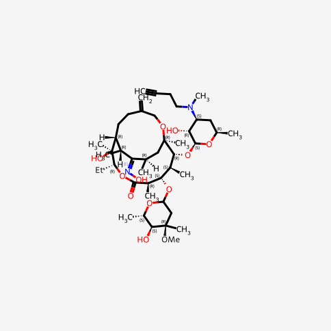 C#CCCN(C)[C@H]1C[C@@H](C)O[C@@H](O[C@@H]2[C@@H](C)[C@H](OC3C[C@@](C)(OC)[C@@H](O)[C@H](C)O3)[C@@H](C)C(=O)O[C@H](CC)[C@@](C)(O)[C@@H]3CCC(=C)CO[C@]2(C)C[C@@H](C)/C(=N\O)[C@@H]3C)[C@@H]1O